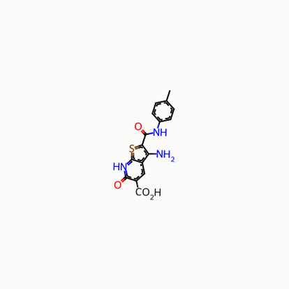 Cc1ccc(NC(=O)c2sc3[nH]c(=O)c(C(=O)O)cc3c2N)cc1